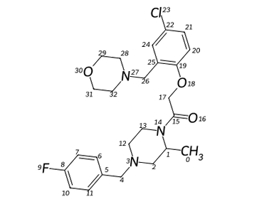 CC1CN(Cc2ccc(F)cc2)CCN1C(=O)COc1ccc(Cl)cc1CN1CCOCC1